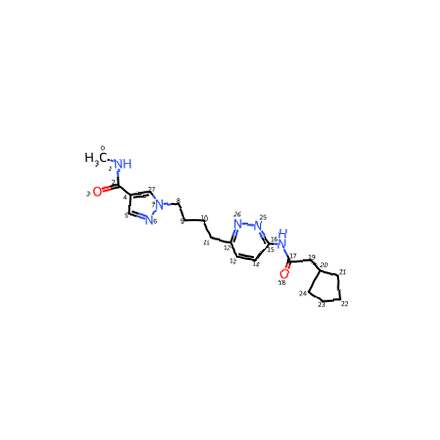 CNC(=O)c1cnn(CCCCc2ccc(NC(=O)CC3CCCC3)nn2)c1